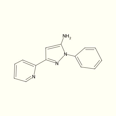 Nc1cc(-c2ccccn2)nn1-c1ccccc1